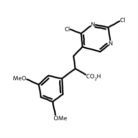 COc1cc(OC)cc(C(Cc2cnc(Cl)nc2Cl)C(=O)O)c1